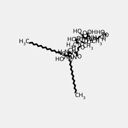 CCCCCCCCCCCCCCCCOC([C@H](CO)OCCCCCCCCCCCCCCCC)[C@@](C)(N)C(=O)N[C@H](CCC(=O)N(CC(C)O[C@H]1[C@H](O)[C@@H](CO)O[C@H](O)[C@@H]1NC(C)=O)[C@@H](C)C(=O)O)C(N)=O.NCCO[PH](=O)O